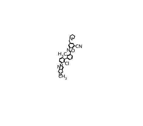 Cc1c(-c2nc3cc(CN4CCCC4)cc(C#N)c3o2)cccc1-c1cccc(-n2cc3c(n2)CN(C)C3)c1Cl